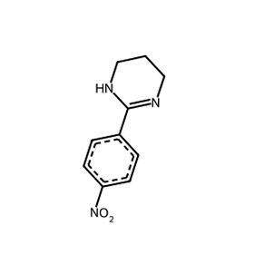 O=[N+]([O-])c1ccc(C2=NCCCN2)cc1